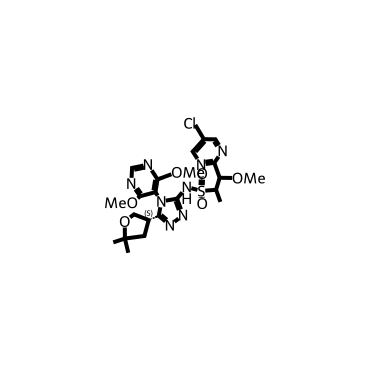 COc1ncnc(OC)c1-n1c(NS(=O)(=O)C(C)C(OC)c2ncc(Cl)cn2)nnc1[C@H]1COC(C)(C)C1